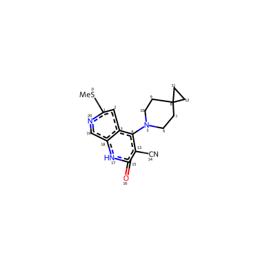 CSc1cc2c(N3CCC4(CC3)CC4)c(C#N)c(=O)[nH]c2cn1